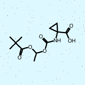 CC(OC(=O)NC1(C(=O)O)CC1)OC(=O)C(C)(C)C